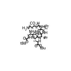 CC(=O)N[C@@H](CCC(=O)OC(C)(C)C)C(=O)N[C@@H](CCC(=O)OC(C)(C)C)C(=O)N[C@H](C(=O)N[C@@H](CC(C)C)C(=O)N[C@@H](CCCCN)C(=O)O)C(C)C